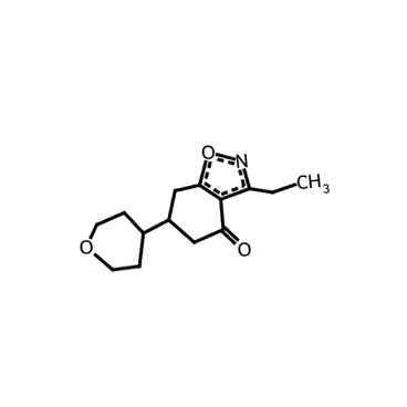 CCc1noc2c1C(=O)CC(C1CCOCC1)C2